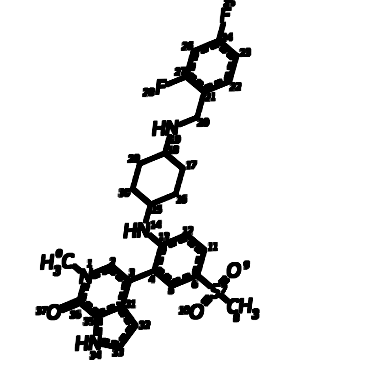 Cn1cc(-c2cc(S(C)(=O)=O)ccc2NC2CCC(NCc3ccc(F)cc3F)CC2)c2cc[nH]c2c1=O